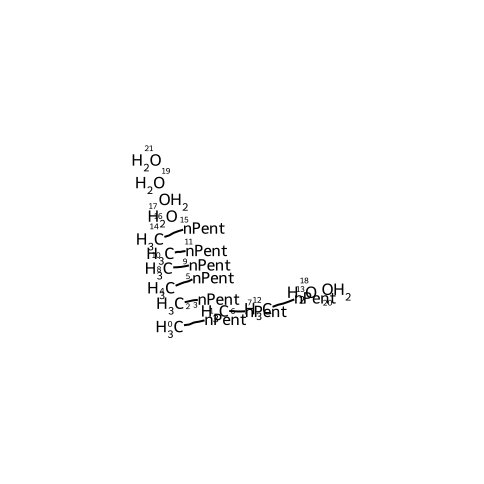 CCCCCC.CCCCCC.CCCCCC.CCCCCC.CCCCCC.CCCCCC.CCCCCC.CCCCCC.O.O.O.O.O.O